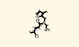 Cc1ccsc1CN(CC(C)C)C(=O)/C=C/C(C)Cl